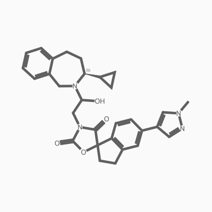 Cn1cc(-c2ccc3c(c2)CCC32OC(=O)N(CC(O)N3Cc4ccccc4CC[C@H]3C3CC3)C2=O)cn1